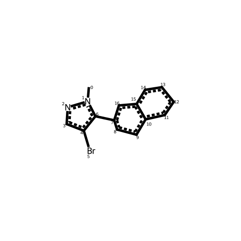 Cn1ncc(Br)c1-c1ccc2ccccc2c1